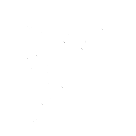 NC(=O)/C(=N\OCCSc1nnc(-c2ccccn2)o1)c1csc(N)n1.O=C([O-])C1=C(c2nc3ccccc3s2)CS[C@H]2C(=S)C(=O)N12.[Na+]